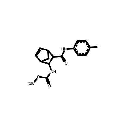 CC(C)(C)OC(=O)NC1C2C=CC(C2)C1C(=O)Nc1ccc(F)cc1